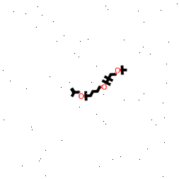 C=C(C)COC(C)(C)CCCCOC(C)(C)C(C)(C)CCOC(C)(C)C